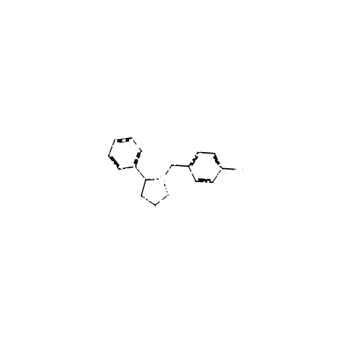 Clc1ccc(CN2CCCC2c2ccccc2)cc1